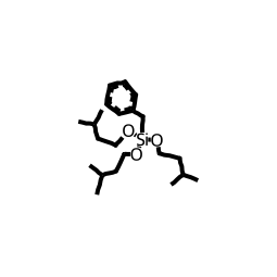 CC(C)CCO[Si](Cc1ccccc1)(OCCC(C)C)OCCC(C)C